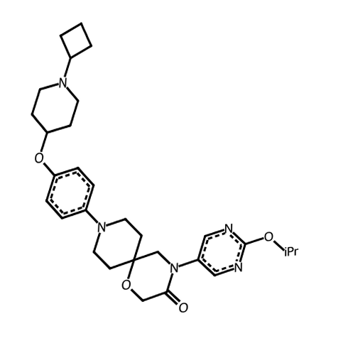 CC(C)Oc1ncc(N2CC3(CCN(c4ccc(OC5CCN(C6CCC6)CC5)cc4)CC3)OCC2=O)cn1